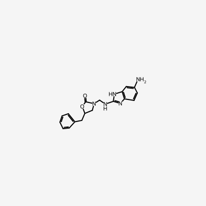 Nc1ccc2nc(NCN3CC(Cc4ccccc4)OC3=O)[nH]c2c1